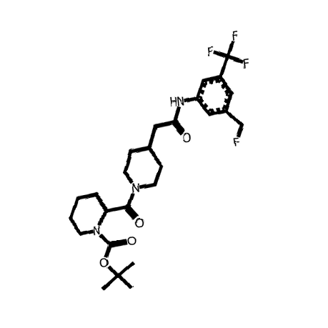 CC(C)(C)OC(=O)N1CCCCC1C(=O)N1CCC(CC(=O)Nc2cc(CF)cc(C(F)(F)F)c2)CC1